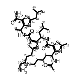 CC(=O)NC(CCCCN)c1nc(C)sc1C(=O)NC(CC(C)C)c1nc(CCCCN)sc1C(=O)NC(C)c1nc(CC(C)C)sc1C(N)=O